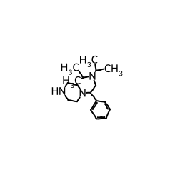 CC(C)N(CC(c1ccccc1)N1CCNCC1)C(C)C